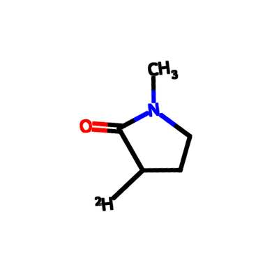 [2H]C1CCN(C)C1=O